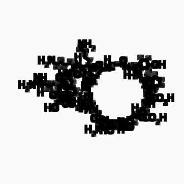 CC(C)CC1NC(=O)[C@H](C(C)C)NC(=O)C(CC(N)=O)NC(=O)[C@H](CO)NC(=O)C(CO)NC(=O)[C@H](CC(=O)O)NC(=O)C(CC(=O)O)NC(=O)[C@H](Cc2ccccc2)NC(=O)C(Cc2ccc(O)cc2)NC(=O)CCNC(=O)CC(C(=O)NC(CCCCN)C(=O)N[C@@H](CCCCN)C(=O)NC(Cc2ccc(O)cc2)C(=O)N[C@@H](CCCNC(=N)N)C(=O)NC(CO)C(=O)O)NC1=O